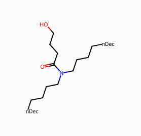 CCCCCCCCCCCCCCN(CCCCCCCCCCCCCC)C(=O)CCCO